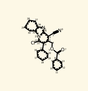 N#Cc1c(COC(=O)c2ccccc2)c(-c2ccccc2)c(Cl)n2c1nc1ccccc12